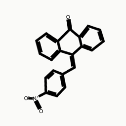 O=C1c2ccccc2C(=Cc2ccc([N+](=O)[O-])cc2)c2ccccc21